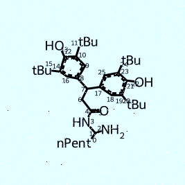 CCCCCC(N)NC(=O)CC(c1cc(C(C)(C)C)c(O)c(C(C)(C)C)c1)c1cc(C(C)(C)C)c(O)c(C(C)(C)C)c1